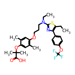 CCc1sc(N(CC)CCCOc2cc(C)c(OC(C)(C)C(=O)O)cc2C)nc1-c1ccc(OC(F)(F)F)cc1